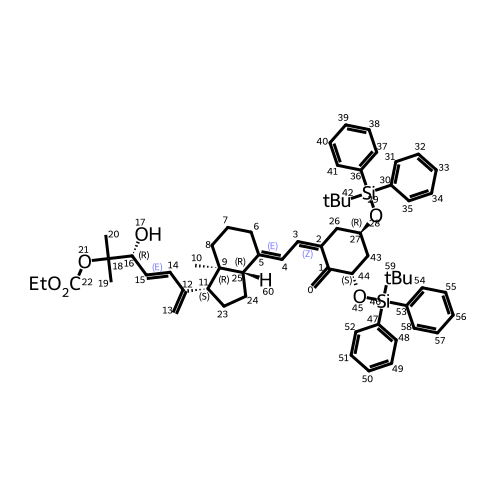 C=C1/C(=C\C=C2/CCC[C@]3(C)[C@@H](C(=C)/C=C/[C@@H](O)C(C)(C)OC(=O)OCC)CC[C@@H]23)C[C@@H](O[Si](c2ccccc2)(c2ccccc2)C(C)(C)C)C[C@@H]1O[Si](c1ccccc1)(c1ccccc1)C(C)(C)C